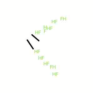 CC.CC.F.F.F.F.F.F.F.F.F.F